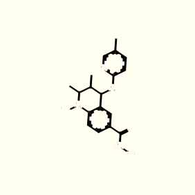 CCNC(=O)c1ccc2c(c1)C(Nc1ccc(C)cn1)C(C)C(C)N2C(C)=O